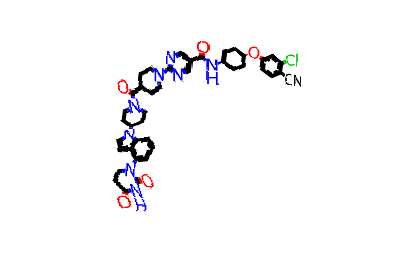 N#Cc1ccc(O[C@H]2CC[C@H](NC(=O)c3cnc(N4CCC(C(=O)N5CCC(n6ccc7c(N8CCC(=O)NC8=O)cccc76)CC5)CC4)nc3)CC2)cc1Cl